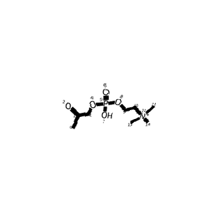 CC(=O)COP(=O)(O)OCC[N+](C)(C)C